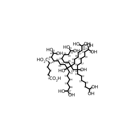 O=C(O)CCCCC(=O)O.OC(O)CCCCCC(O)(CCCCCC(O)O)CC(CCCCCC(O)O)(CCCCCC(O)O)C(O)(CCCCCC(O)O)CCCCCC(O)O